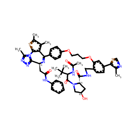 CC(=O)NC(C(=O)N1C[C@H](O)C[C@H]1C(=O)NCc1ccc(-c2scnc2C)cc1OCCCOc1ccc(C2=N[C@@H](CC(=O)Nc3ccccc3)c3nnc(C)n3-c3sc(C)c(C)c32)cc1)C(C)(C)C